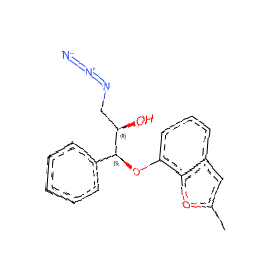 Cc1cc2cccc(O[C@@H](c3ccccc3)[C@H](O)CN=[N+]=[N-])c2o1